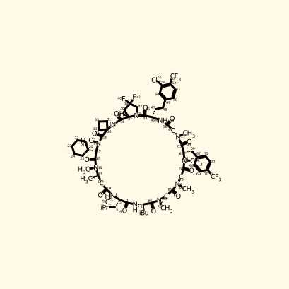 CC[C@H](C)[C@@H]1NC(=O)[C@H](CC(C)C)N(C)C(=O)C[C@@H](C)N(C)C(=O)[C@H](C2CCCCC2)N(C)C(=O)C2(CCC2)NC(=O)[C@@H]2CC(F)(F)CN2C(=O)[C@H](CCc2ccc(C(F)(F)F)c(Cl)c2)NC(=O)CN(C)C(=O)[C@H](Cc2ccc(C(F)(F)F)cc2)N(C)C(=O)CN(C)C(=O)CN(C)C1=O